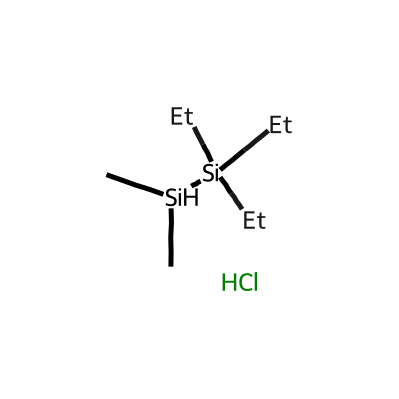 CC[Si](CC)(CC)[SiH](C)C.Cl